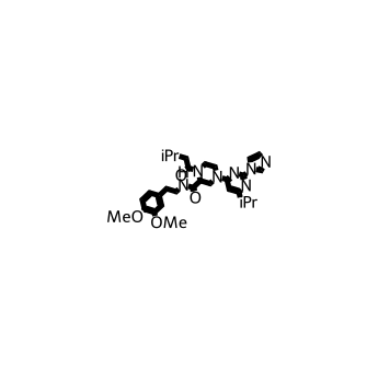 COc1ccc(CCNC(=O)C2CN(c3cc(C(C)C)nc(-n4ccnc4)n3)CCN2C(=O)CC(C)C)cc1OC